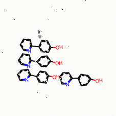 Oc1ccc(-c2ccccn2)cc1.Oc1ccc(-c2ccccn2)cc1.Oc1ccc(-c2ccccn2)cc1.Oc1ccc(-c2ccccn2)cc1.[Ir].[Ir]